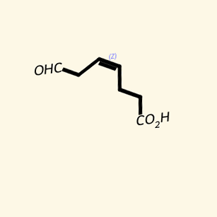 O=CC/C=C\CCC(=O)O